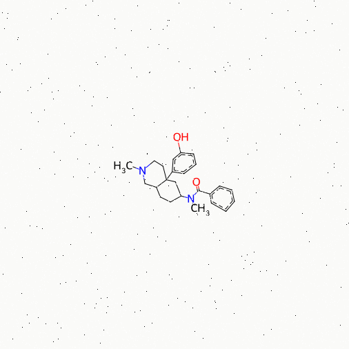 CN1CCC2(c3cccc(O)c3)CC(N(C)C(=O)c3ccccc3)CCC2C1